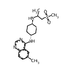 Cc1ccc2ncnc(N[C@H]3CC[C@H](NC(C)CS(C)(=O)=O)CC3)c2c1